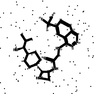 CC(C)[C@H](O)[C@H]1CC[C@H](C2NCC2NC(=O)CNc2nncc3ccc(C(F)(F)F)cc23)CC1